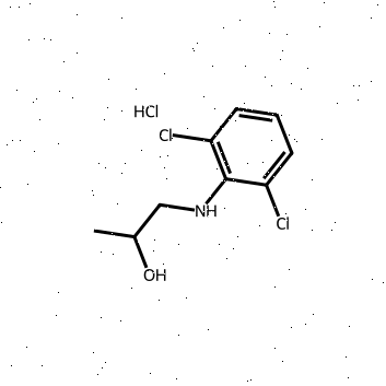 CC(O)CNc1c(Cl)cccc1Cl.Cl